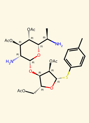 CC(=O)OC[C@H]1O[C@@H](Sc2ccc(C)cc2)[C@H](OC(C)=O)[C@@H]1O[C@H]1O[C@@H]([C@@H](C)N)[C@@H](OC(C)=O)[C@H](OC(C)=O)[C@H]1N